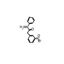 NN(C(=O)Cc1cccc([N+](=O)[O-])c1)c1ccccc1